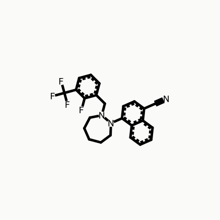 N#Cc1ccc(N2CCCCCN2Cc2cccc(C(F)(F)F)c2F)c2ccccc12